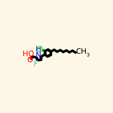 CCCCCCCCCc1ccc(-c2cc(F)c(C(=O)O)[nH]2)c(Cl)c1